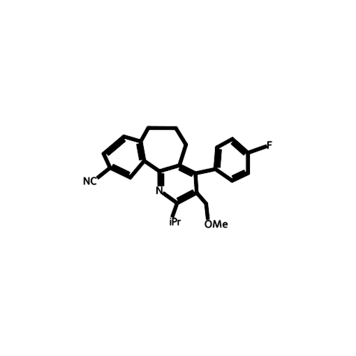 COCc1c(C(C)C)nc2c(c1-c1ccc(F)cc1)CCCc1ccc(C#N)cc1-2